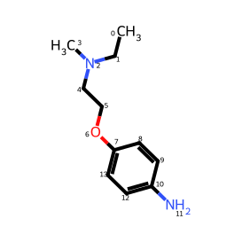 CCN(C)CCOc1ccc(N)cc1